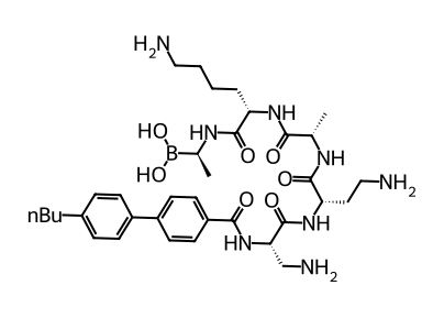 CCCCc1ccc(-c2ccc(C(=O)N[C@@H](CN)C(=O)N[C@@H](CCN)C(=O)N[C@@H](C)C(=O)N[C@@H](CCCCN)C(=O)N[C@@H](C)B(O)O)cc2)cc1